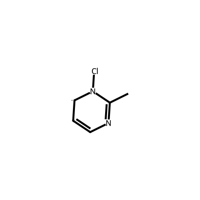 CC1=NC=C[CH]N1Cl